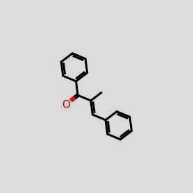 C/C(=C\c1ccccc1)C(=O)c1ccccc1